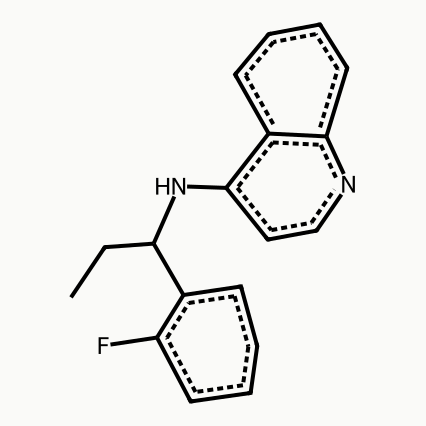 CCC(Nc1ccnc2ccccc12)c1ccccc1F